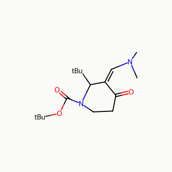 CN(C)/C=C1\C(=O)CCN(C(=O)OC(C)(C)C)C1C(C)(C)C